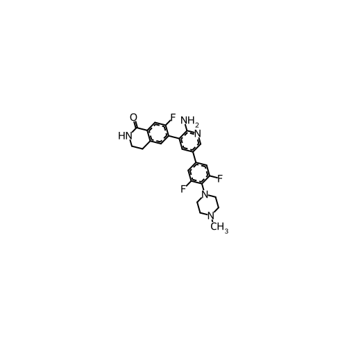 CN1CCN(c2c(F)cc(-c3cnc(N)c(-c4cc5c(cc4F)C(=O)NCC5)c3)cc2F)CC1